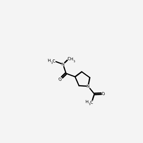 CC(=O)N1CCC(C(=O)N(C)C)C1